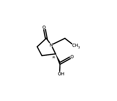 CCN1C(=O)CC[C@@H]1C(=O)O